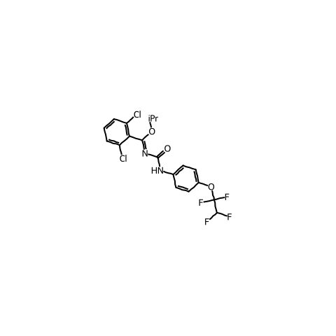 CC(C)OC(=NC(=O)Nc1ccc(OC(F)(F)C(F)F)cc1)c1c(Cl)cccc1Cl